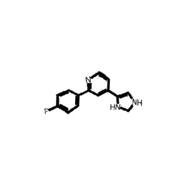 Fc1ccc(-c2cc(C3=CNCN3)ccn2)cc1